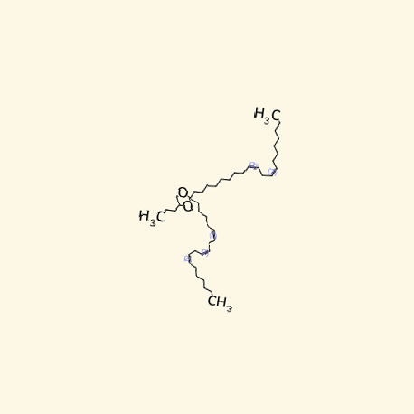 CCCCCC/C=C\C/C=C\C/C=C\CCCCC1(CCCCCCCC/C=C\C/C=C\CCCCCCC)OCC(CCC)O1